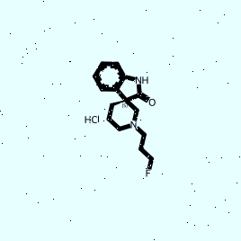 Cl.O=C1Nc2ccccc2[C@]12CCCN(CCCF)C2